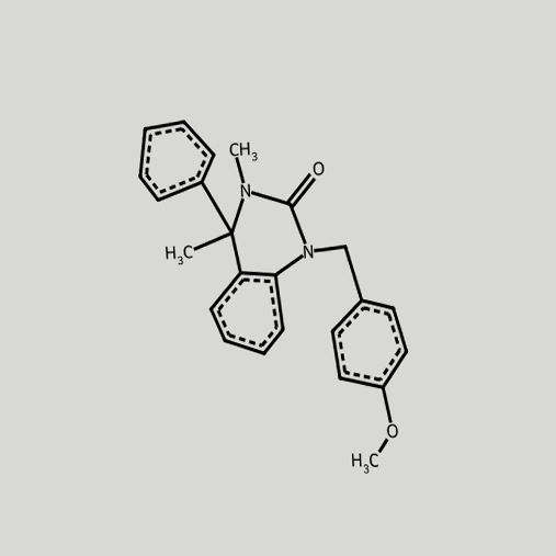 COc1ccc(CN2C(=O)N(C)C(C)(c3ccccc3)c3ccccc32)cc1